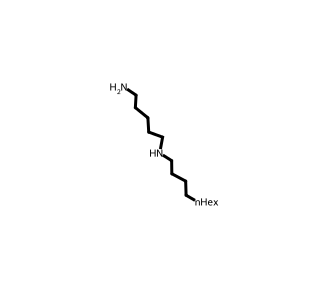 CCCCCCCCCCNCCCCCN